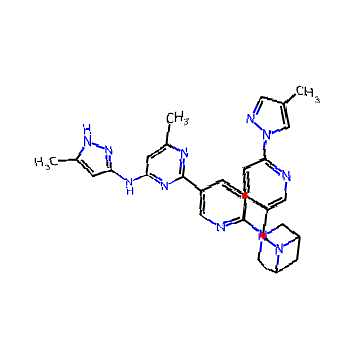 Cc1cnn(-c2ccc(CN3C4CC3CN(c3ccc(-c5nc(C)cc(Nc6cc(C)[nH]n6)n5)cn3)C4)cn2)c1